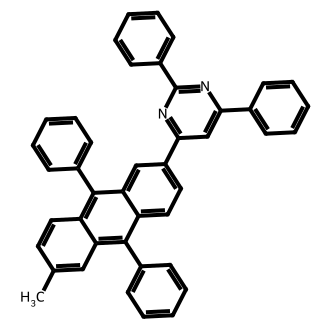 Cc1ccc2c(-c3ccccc3)c3cc(-c4cc(-c5ccccc5)nc(-c5ccccc5)n4)ccc3c(-c3ccccc3)c2c1